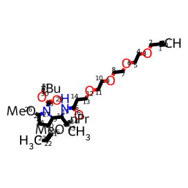 C#CCOCCOCCOCCOCCC(=O)N[C@H]([C@H]1[C@H](/C=C\C)CC(OC)N1C(=O)OC(C)(C)C)C(C)(CCC)OC